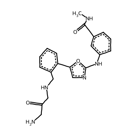 CNC(=O)c1cccc(Nc2ncc(-c3ccccc3CNCC(=O)CN)o2)c1